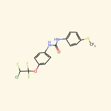 O=C(Nc1ccc(OC(F)(F)C(F)Cl)cc1)Nc1ccc(SC(F)(F)F)cc1